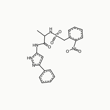 CC(NS(=O)(=O)Cc1ccccc1[N+](=O)[O-])C(=O)Nc1cc(-c2ccccc2)n[nH]1